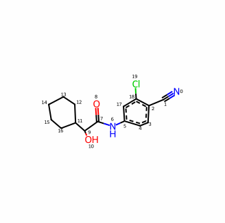 N#Cc1ccc(NC(=O)C(O)C2CCCCC2)cc1Cl